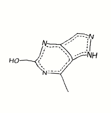 Cc1nc(O)nc2cn[nH]c12